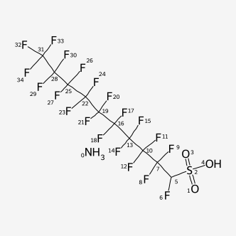 N.O=S(=O)(O)C(F)C(F)(F)C(F)(F)C(F)(F)C(F)(F)C(F)(F)C(F)(F)C(F)(F)C(F)(F)C(F)(F)F